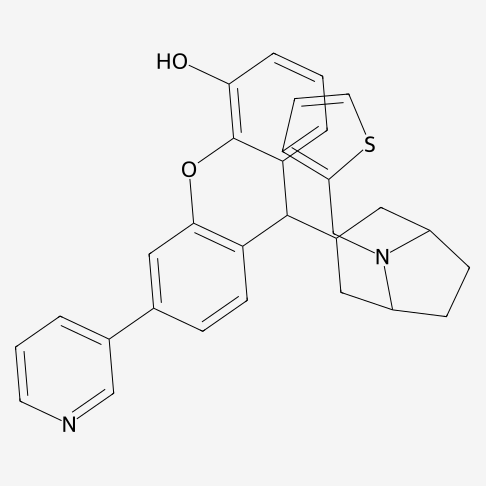 Oc1cccc2c1Oc1cc(-c3cccnc3)ccc1C2C1CC2CCC(C1)N2Cc1cccs1